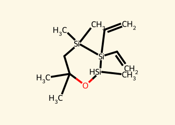 C=C[Si]1(C=C)[SiH](C)OC(C)(C)C[Si]1(C)C